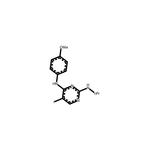 CCCNc1ncc(I)c(Nc2ccc(OC)cc2)n1